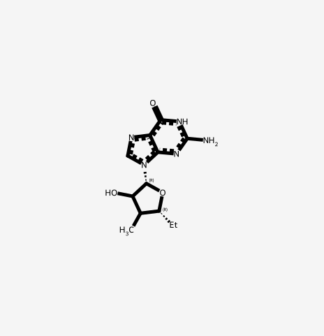 CC[C@H]1O[C@@H](n2cnc3c(=O)[nH]c(N)nc32)C(O)C1C